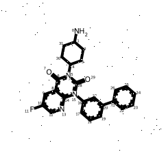 NC1CCC(n2c(=O)c3cc(F)cnc3n(-c3cccc(-c4ccccc4)c3)c2=O)CC1